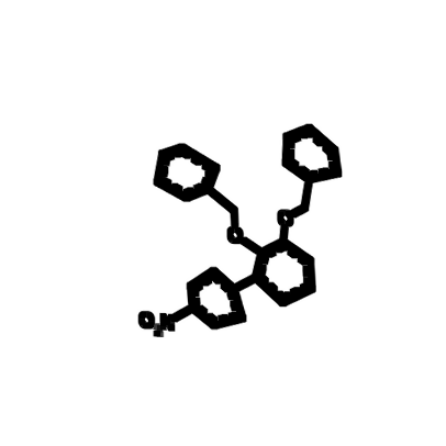 O=[N+]([O-])c1ccc(-c2cccc(OCc3ccccc3)c2OCc2ccccc2)cc1